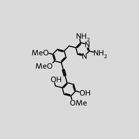 COc1cc(CO)c(C#Cc2cc(Cc3cnc(N)nc3N)cc(OC)c2OC)cc1O